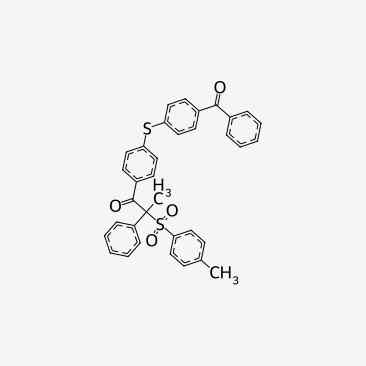 Cc1ccc(S(=O)(=O)C(C)(C(=O)c2ccc(Sc3ccc(C(=O)c4ccccc4)cc3)cc2)c2ccccc2)cc1